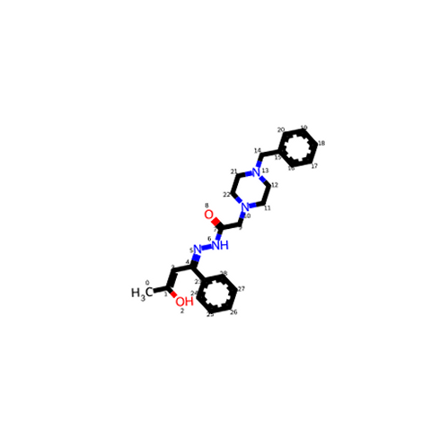 CC(O)=CC(=NNC(=O)CN1CCN(Cc2ccccc2)CC1)c1ccccc1